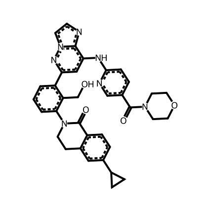 O=C(c1ccc(Nc2cc(-c3cccc(N4CCc5cc(C6CC6)ccc5C4=O)c3CO)nn3ccnc23)nc1)N1CCOCC1